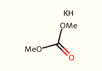 COC(=O)OC.[KH]